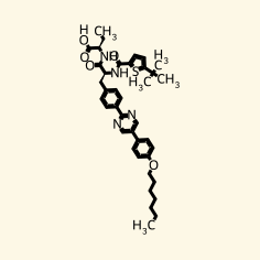 CCCCCCCOc1ccc(-c2cnc(-c3ccc(C[C@H](NC(=O)c4ccc(C(C)(C)C)s4)C(=O)N[C@H](CC)C(=O)O)cc3)nc2)cc1